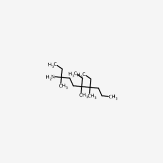 CCCC(C)(CC)C(C)(CC)CCC(C)(N)CC